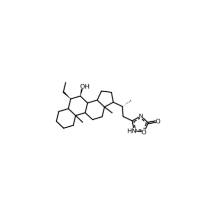 CC[C@@H]1C2CCCCC2(C)C2CCC3(C)C(CCC3[C@H](C)Cc3nc(=O)o[nH]3)C2[C@@H]1O